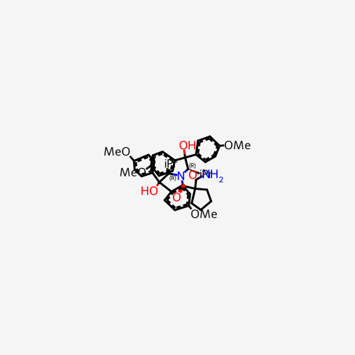 COc1ccc(C(O)(c2ccc(OC)cc2)[C@@H](C(C)C)N(C(=O)C2(C(N)=O)CCCC2)[C@H](C(C)C)C(O)(c2ccc(OC)cc2)c2ccc(OC)cc2)cc1